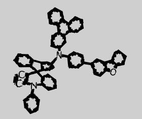 c1ccc(N2c3ccccc3C3(c4ccccc4-c4cc(N(c5ccc(-c6ccc7oc8ccccc8c7c6)cc5)c5ccc6c7ccccc7c7ccccc7c6c5)ccc43)c3ccccc32)cc1